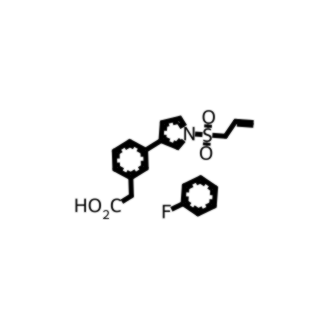 C=CCS(=O)(=O)n1ccc(-c2cccc(CC(=O)O)c2)c1.Fc1ccccc1